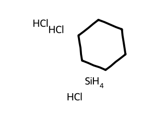 C1CCCCC1.Cl.Cl.Cl.[SiH4]